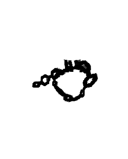 O=C1CCN(c2ccc3cc2OCCOCCOc2cccc(c2)-c2ccnc(n2)N3)CC1